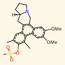 COc1cc2c3c(c4cc(C)c(OS(C)(=O)=O)c(C)c4c2cc1OC)C[C@@H]1CCCN1C3